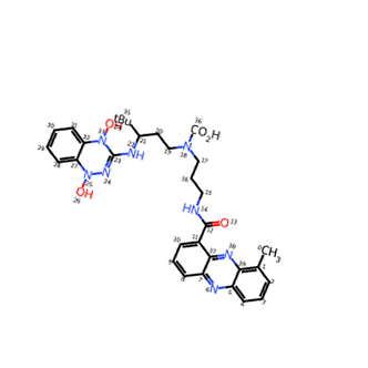 Cc1cccc2nc3cccc(C(=O)NCCCN(CCC(NC4=NN(O)c5ccccc5N4O)C(C)(C)C)C(=O)O)c3nc12